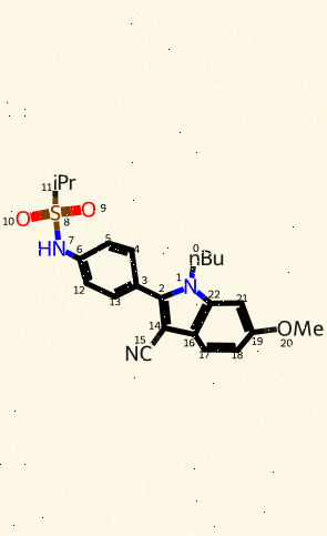 CCCCn1c(-c2ccc(NS(=O)(=O)C(C)C)cc2)c(C#N)c2ccc(OC)cc21